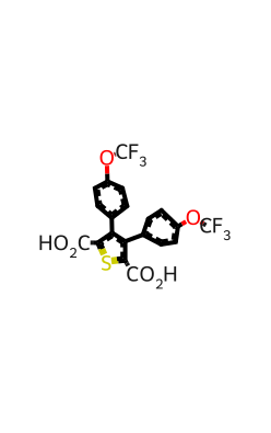 O=C(O)c1sc(C(=O)O)c(-c2ccc(OC(F)(F)F)cc2)c1-c1ccc(OC(F)(F)F)cc1